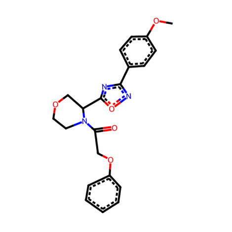 COc1ccc(-c2noc(C3COCCN3C(=O)COc3ccccc3)n2)cc1